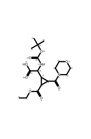 CCOC(=O)C1C(C(=O)N2CCOCC2)C1C(NC(=O)OC(C)(C)C)C(=O)O